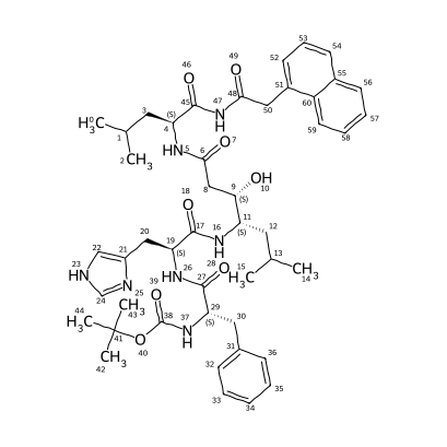 CC(C)C[C@H](NC(=O)C[C@H](O)[C@H](CC(C)C)NC(=O)[C@H](Cc1c[nH]cn1)NC(=O)[C@H](Cc1ccccc1)NC(=O)OC(C)(C)C)C(=O)NC(=O)Cc1cccc2ccccc12